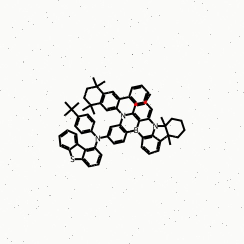 Cc1cc2c3c(c1)N1c4c(cccc4C4(C)CCCCC14C)B3c1ccc(N(c3ccc(C(C)(C)C)cc3)c3cccc4sc5ccccc5c34)cc1N2c1cc2c(cc1-c1ccccc1)C(C)(C)CCC2(C)C